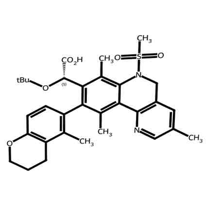 Cc1cnc2c(c1)CN(S(C)(=O)=O)c1c(C)c([C@H](OC(C)(C)C)C(=O)O)c(-c3ccc4c(c3C)CCCO4)c(C)c1-2